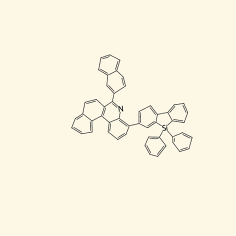 c1ccc([Si]2(c3ccccc3)c3ccccc3-c3ccc(-c4cccc5c4nc(-c4ccc6ccccc6c4)c4ccc6ccccc6c45)cc32)cc1